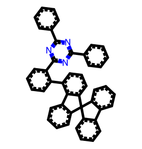 c1ccc(-c2nc(-c3ccccc3)nc(-c3ccccc3-c3cccc4c3-c3ccccc3C43c4ccccc4-c4ccccc43)n2)cc1